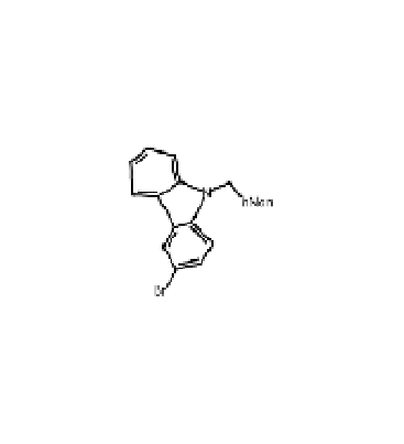 CCCCCCCCCCn1c2ccccc2c2cc(Br)ccc21